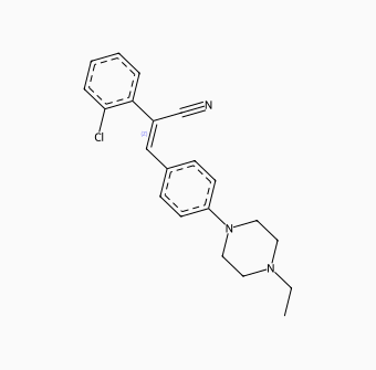 CCN1CCN(c2ccc(/C=C(\C#N)c3ccccc3Cl)cc2)CC1